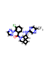 O=C(c1cccc(F)c1-n1nccn1)N1CC2CCC23CC(Nc2cnc(C(F)(F)F)cn2)C13